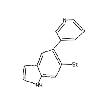 CCc1cc2[nH]ccc2cc1-c1cccnc1